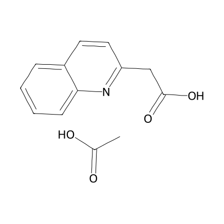 CC(=O)O.O=C(O)Cc1ccc2ccccc2n1